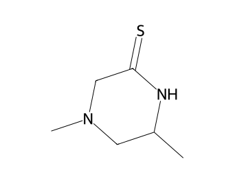 CC1CN(C)CC(=S)N1